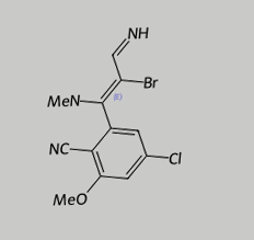 CN/C(=C(/Br)C=N)c1cc(Cl)cc(OC)c1C#N